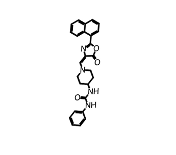 O=C(Nc1ccccc1)NC1CCN(/C=C2/N=C(c3cccc4ccccc34)OC2=O)CC1